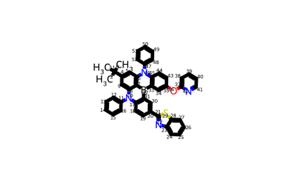 CC(C)(C)c1cc2c3c(c1)N(c1ccccc1)c1ccc(-c4nc5ccccc5s4)cc1B3c1cc(Oc3ccccn3)ccc1N2c1ccccc1